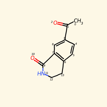 CC(=O)c1ccc2c(c1)C(=O)NCC2